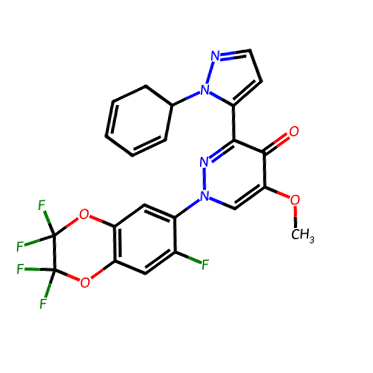 COc1cn(-c2cc3c(cc2F)OC(F)(F)C(F)(F)O3)nc(-c2ccnn2C2C=CC=CC2)c1=O